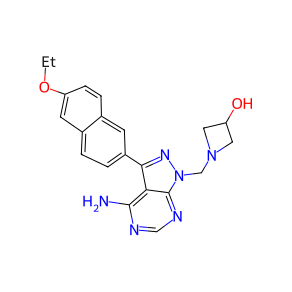 CCOc1ccc2cc(-c3nn(CN4CC(O)C4)c4ncnc(N)c34)ccc2c1